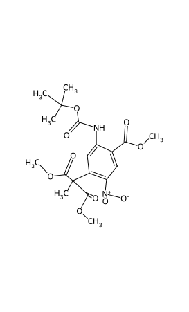 COC(=O)c1cc([N+](=O)[O-])c(C(C)(C(=O)OC)C(=O)OC)cc1NC(=O)OC(C)(C)C